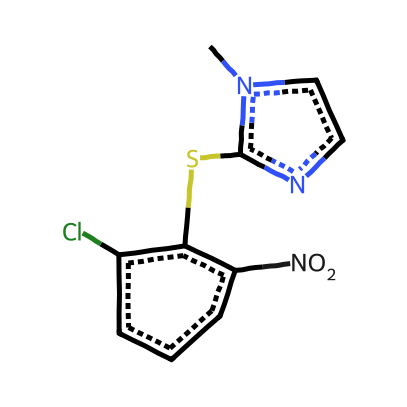 Cn1ccnc1Sc1c(Cl)cccc1[N+](=O)[O-]